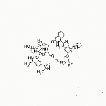 Cc1ncsc1-c1ccc([C@H](C)NC(=O)[C@@H]2C[C@@H](O)CN2C(=O)[C@@H](NC(=O)CCOCCCN2C[C@@H](C(F)(F)F)[C@H]2COc2nc(N3CC4CCC(C3)N4)c3cnc(-c4[nH]c(=O)cc5ccccc45)c(F)c3n2)C(C)(C)C)cc1